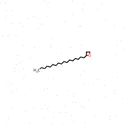 CCCCCCCCCCCCCCCCCC1CCO1